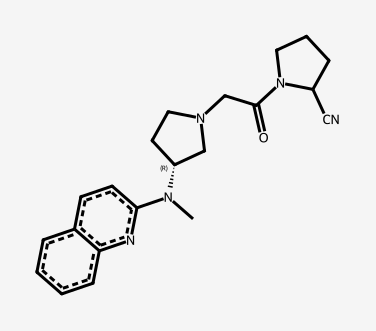 CN(c1ccc2ccccc2n1)[C@@H]1CCN(CC(=O)N2CCCC2C#N)C1